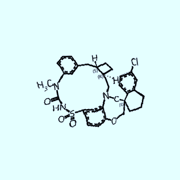 CN1C(=O)NS(=O)(=O)c2ccc3c(c2)N(C[C@@H]2CC[C@H]2Cc2cccc1c2)C[C@@]1(CCCc2cc(Cl)ccc21)CO3